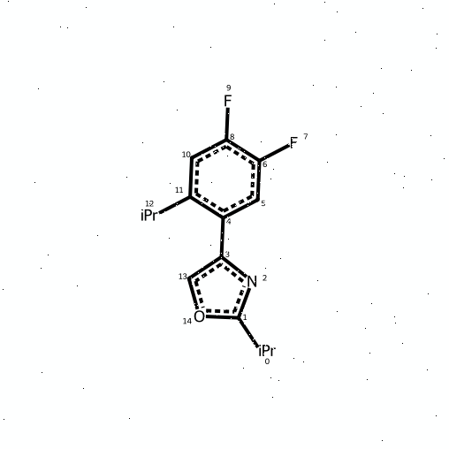 CC(C)c1nc(-c2cc(F)c(F)cc2C(C)C)co1